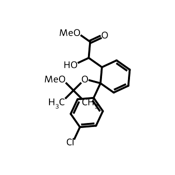 COC(=O)C(O)C1C=CC=CC1(OC(C)(C)OC)c1ccc(Cl)cc1